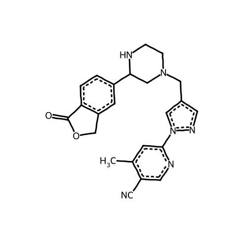 Cc1cc(-n2cc(CN3CCNC(c4ccc5c(c4)COC5=O)C3)cn2)ncc1C#N